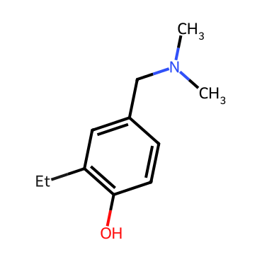 CCc1cc(CN(C)C)ccc1O